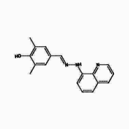 Cc1cc(/C=N/Nc2cccc3cccnc23)cc(C)c1O